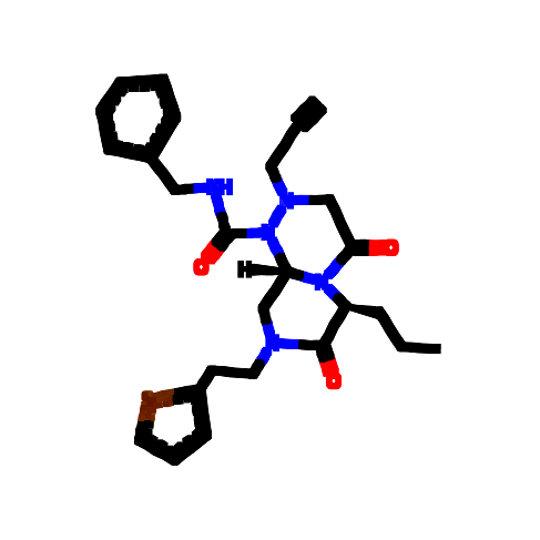 C#CCN1CC(=O)N2[C@@H](CCC)C(=O)N(CCc3cccs3)C[C@@H]2N1C(=O)NCc1ccccc1